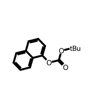 CC(C)(C)OC(=O)Oc1cccc2ccccc12